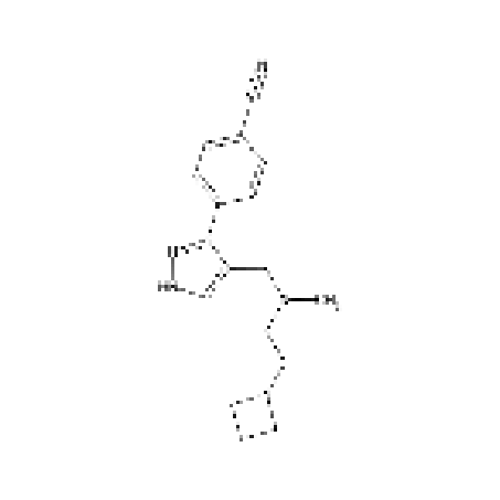 CN(CCN1CCC1)Cc1c[nH]nc1-c1ccc(C#N)cc1